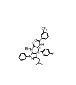 CCN1C(=O)[C@@H](NC(=O)c2cccc(C(F)(F)F)c2)[C@@H](c2ccc(F)cc2)c2c(CN(C)C)nn(-c3ccccc3)c21